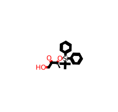 C[C@H](O[Si](c1ccccc1)(c1ccccc1)C(C)(C)C)C(=O)CO